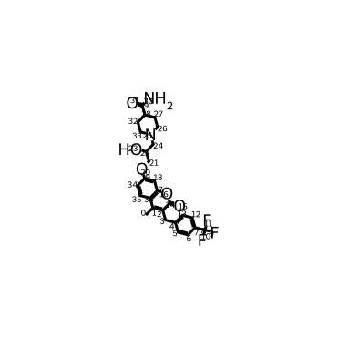 Cc1c(Cc2ccc(C(F)(F)F)cc2)c(=O)oc2cc(OCC(O)CN3CCC(C(N)=O)CC3)ccc12